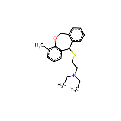 CCN(CC)CCSC1c2ccccc2COc2c(C)cccc21